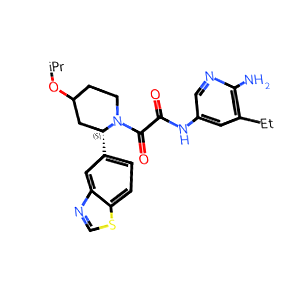 CCc1cc(NC(=O)C(=O)N2CCC(OC(C)C)C[C@H]2c2ccc3scnc3c2)cnc1N